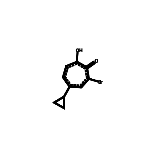 O=c1c(O)ccc(C2CC2)cc1Br